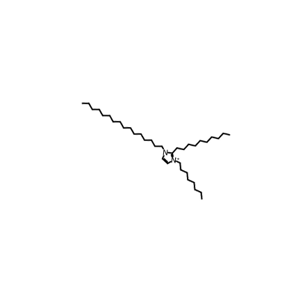 CCCCCCCCCCCCCCCCn1cc[n+](CCCCCCCC)c1CCCCCCCCCC